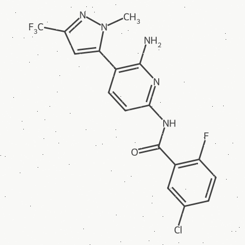 Cn1nc(C(F)(F)F)cc1-c1ccc(NC(=O)c2cc(Cl)ccc2F)nc1N